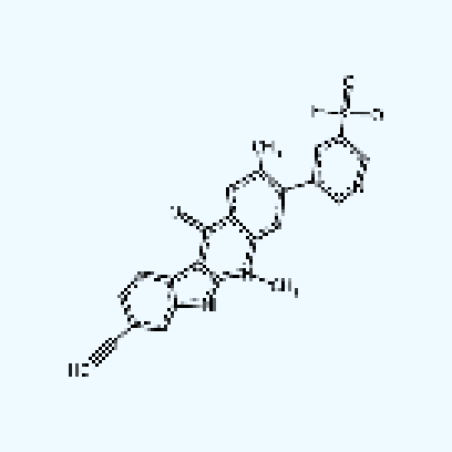 C#Cc1ccc2c(c1)[nH]c1c2c(=O)c2cc(C)c(-c3cncc(S(=O)(=O)F)c3)cc2n1C